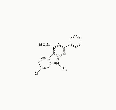 CCOC(=O)c1nc(-c2ccccc2)nc2c1c1ccc(Cl)cc1n2C